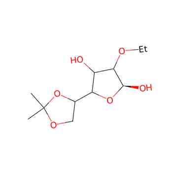 CCOC1C(O)C(C2COC(C)(C)O2)O[C@@H]1O